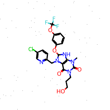 Cn1c2c(c(=O)n(CCCO)c1=O)N(Cc1ccc(Cl)cn1)C(Oc1cccc(OC(F)(F)F)c1)N2